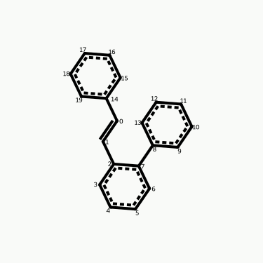 C(=Cc1ccccc1-c1ccccc1)c1ccccc1